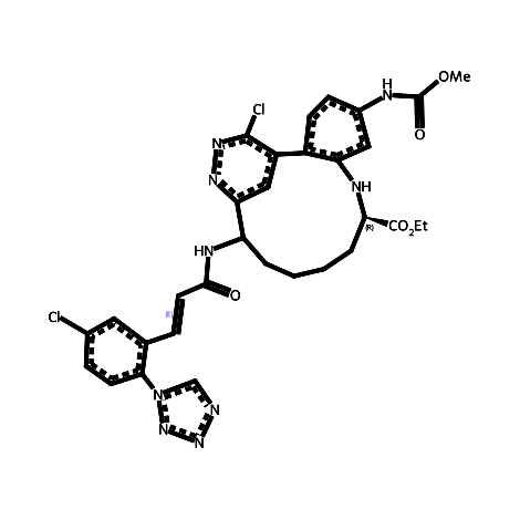 CCOC(=O)[C@H]1CCCCC(NC(=O)/C=C/c2cc(Cl)ccc2-n2cnnn2)c2cc(c(Cl)nn2)-c2ccc(NC(=O)OC)cc2N1